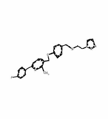 Cc1nc(-c2ccc(F)cc2)ccc1COc1ccc(CSCCn2ccnn2)cc1